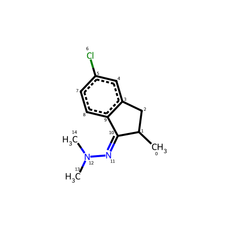 CC1Cc2cc(Cl)ccc2C1=NN(C)C